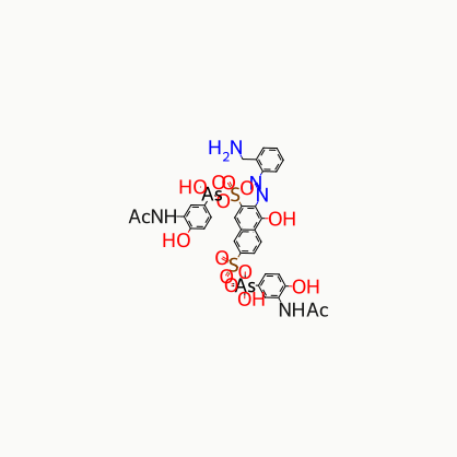 CC(=O)Nc1cc([As](=O)(O)OS(=O)(=O)c2ccc3c(O)c(N=Nc4ccccc4CN)c(S(=O)(=O)O[As](=O)(O)c4ccc(O)c(NC(C)=O)c4)cc3c2)ccc1O